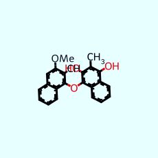 COc1cc2ccccc2c(Oc2c(O)c(C)c(O)c3ccccc23)c1C